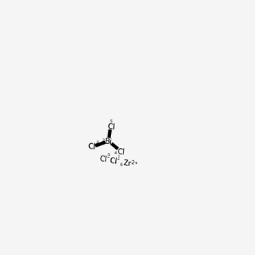 [Cl-].[Cl-].[Cl][Bi]([Cl])[Cl].[Zr+2]